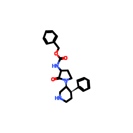 O=C(NC1CCN([C@@H]2CNCC[C@H]2c2ccccc2)C1=O)OCc1ccccc1